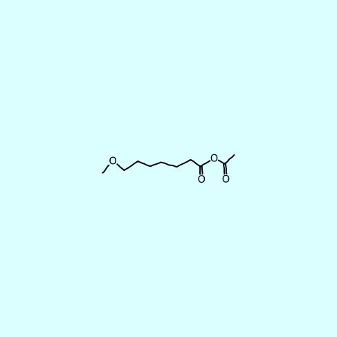 COCCCCCCC(=O)OC(C)=O